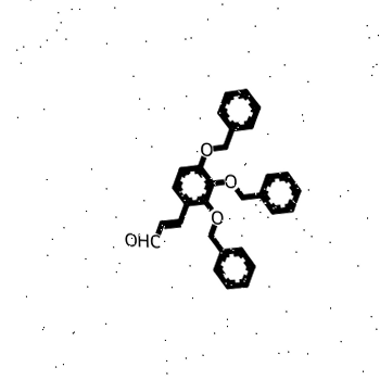 O=CC=Cc1ccc(OCc2ccccc2)c(OCc2ccccc2)c1OCc1ccccc1